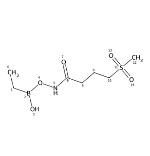 CCB(O)ONC(=O)CCCS(C)(=O)=O